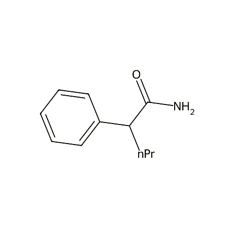 CCCC(C(N)=O)c1ccccc1